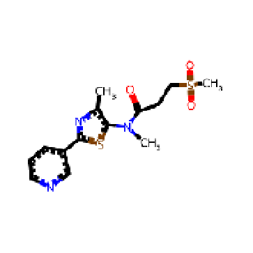 Cc1nc(-c2cccnc2)sc1N(C)C(=O)CCS(C)(=O)=O